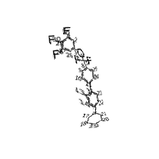 Fc1cc(OC(F)(F)c2ccc(-c3ccc(C4CCCCC4)cc3)cc2)cc(F)c1F